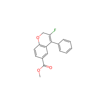 COC(=O)c1ccc2c(c1)C(c1ccccc1)=C(F)CO2